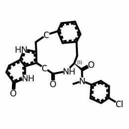 CN(C(=O)[C@@H]1Cc2cccc(c2)CCc2[nH]c3ccc(=O)[nH]c3c2CC(=O)N1)c1ccc(Cl)cc1